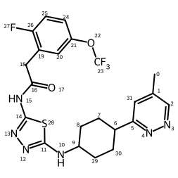 Cc1cnnc(C2CCC(Nc3nnc(NC(=O)Cc4cc(OC(F)(F)F)ccc4F)s3)CC2)c1